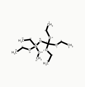 CCOC(OCC)(OCC)O[Si](CC)(OC)OCC